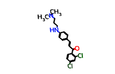 CN(C)CCCNc1ccc(C=CC(=O)c2ccc(Cl)cc2Cl)cc1